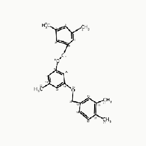 Cc1cc(C)cc(COc2cc(C)cc(OCc3ccc(C)c(C)c3)c2)c1